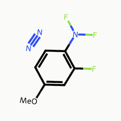 COc1ccc(N(F)F)c(F)c1.N#N